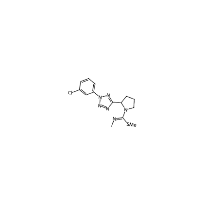 CN=C(SC)N1CCCC1c1nnn(-c2cccc(Cl)c2)n1